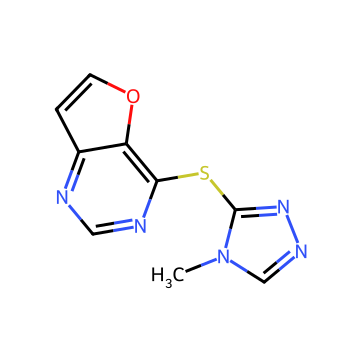 Cn1cnnc1Sc1ncnc2ccoc12